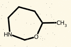 CC1CCCNCO1